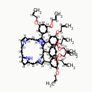 C=CCOc1cc(OCC=C)cc(C2=Cc3cc4ccc(cc5nc(cc6[nH]c(c(-c7cc(OCC=C)cc(OCC=C)c7)c2n3)c(-c2cc(OCC=C)cc(OCC=C)c2)c6-c2cc(OCC=C)cc(OCC=C)c2)C=C5)[nH]4)c1